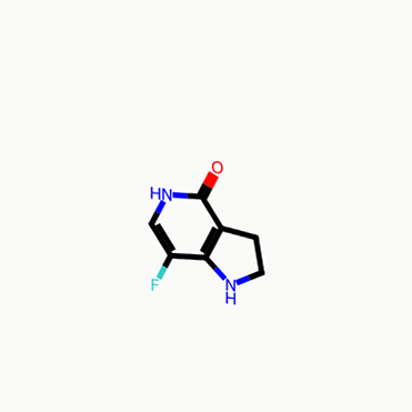 O=c1[nH]cc(F)c2c1CCN2